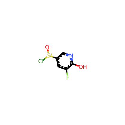 [O-][S+](Cl)c1cnc(O)c(F)c1